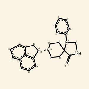 O=C1NCN(c2ccccc2)C12CCN([C@H]1Cc3cccc4cccc1c34)CC2